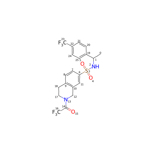 CC(NS(=O)(=O)c1ccc2c(c1)CN(C(=O)C(F)(F)F)CC2)c1ccc(C(F)(F)F)cc1